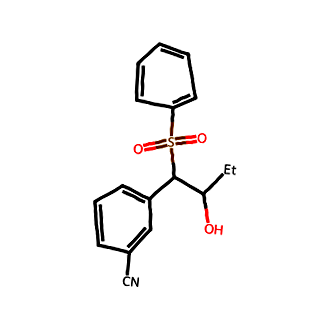 CCC(O)C(c1cccc(C#N)c1)S(=O)(=O)c1ccccc1